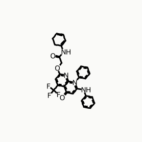 O=C(COc1cc(C(F)(F)F)c2c(=O)cc(Nc3ccccc3)n(-c3ccccc3)c2n1)NC1=CC=CCC1